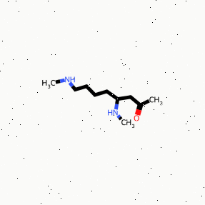 CNCCCCC(CC(C)=O)NC